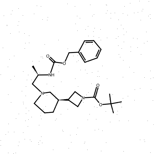 C[C@H](CN1CCC[C@H](C2CN(C(=O)OC(C)(C)C)C2)C1)NC(=O)OCc1ccccc1